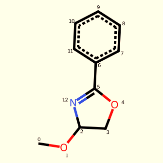 COC1COC(c2ccccc2)=N1